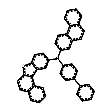 c1ccc(-c2ccc(N(c3ccc4c(ccc5ccccc54)c3)c3ccc4oc5ccc6ccccc6c5c4c3)cc2)cc1